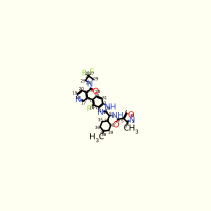 Cc1nocc1C(=O)NC(c1nc2c(F)c(-c3cnccc3C(=O)N3CC(F)(F)C3)ccc2[nH]1)C1CCC(C)CC1